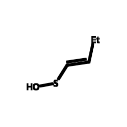 CCC=CSO